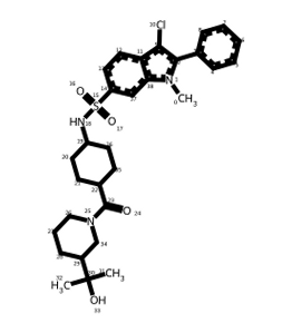 Cn1c(-c2ccccc2)c(Cl)c2ccc(S(=O)(=O)NC3CCC(C(=O)N4CCCC(C(C)(C)O)C4)CC3)cc21